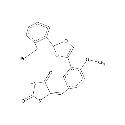 CC(C)Cc1ccccc1C1OC=C(c2cc(C=C3SC(=O)NC3=O)ccc2OC(F)(F)F)O1